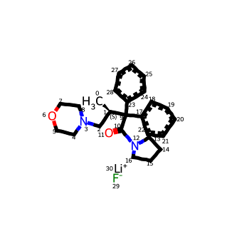 C[C@H](CN1CCOCC1)C(C(=O)N1CCCC1)(c1ccccc1)c1ccccc1.[F-].[Li+]